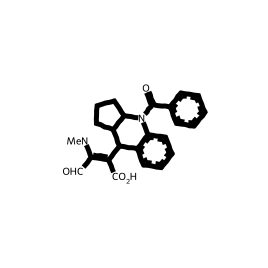 CN/C(C=O)=C(/C(=O)O)C1c2ccccc2N(C(=O)c2ccccc2)C2CCCC12